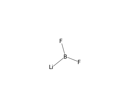 [Li][B](F)F